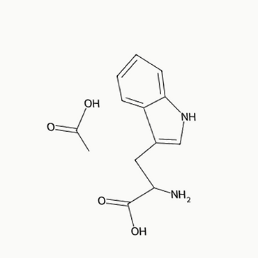 CC(=O)O.NC(Cc1c[nH]c2ccccc12)C(=O)O